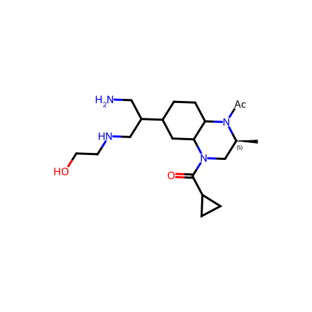 CC(=O)N1C2CCC(C(CN)CNCCO)CC2N(C(=O)C2CC2)C[C@@H]1C